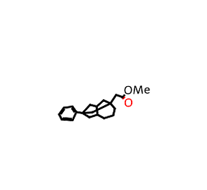 COC(=O)CC12CCCC3CC(c4ccccc4)(CC3C1)C2